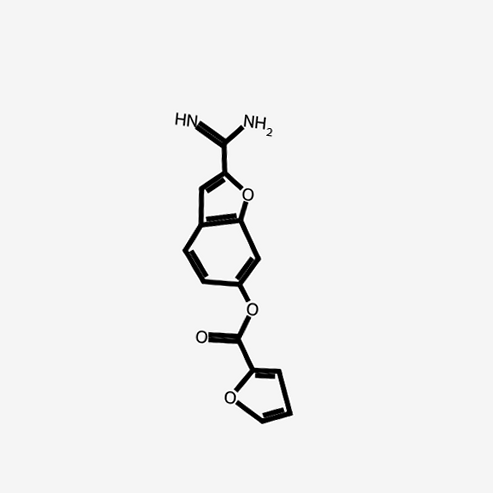 N=C(N)c1cc2ccc(OC(=O)c3ccco3)cc2o1